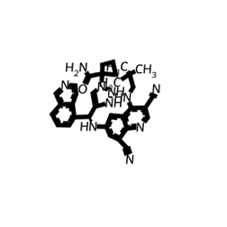 CC(C)(C)CNc1c(C#N)cnc2c(C#N)cc(N[C@H](C3=CN(C4(C(N)=O)CCC4)NN3)c3cccc4cnccc34)cc12